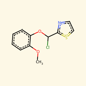 COc1ccc[c]c1OC(Cl)c1nccs1